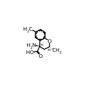 Cc1ccc2c(c1)[C@@](N)(C(=O)O)C[C@@H](C)O2